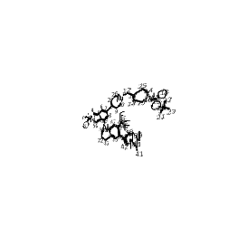 CC(=O)n1cc2cc(C3CCN(CC4CCN(C(=O)OC(C)(C)C)CC4)CC3)cc(N3CCCc4cc(-c5cnn(C)c5)c(C(F)F)cc43)c2c1